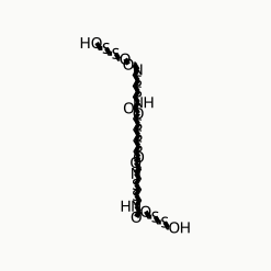 O=C(NCSCSC/N=C/OOCSCSCSCOC(=O)NCSCSC/N=C\OOCSCSCO)OCSCSCO